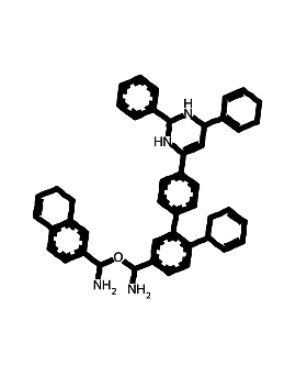 NC(OC(N)c1ccc(C2C=CC=CC2)c(-c2ccc(C3=CC(C4=CCCC=C4)NC(c4ccccc4)N3)cc2)c1)c1ccc2c(c1)CCC=C2